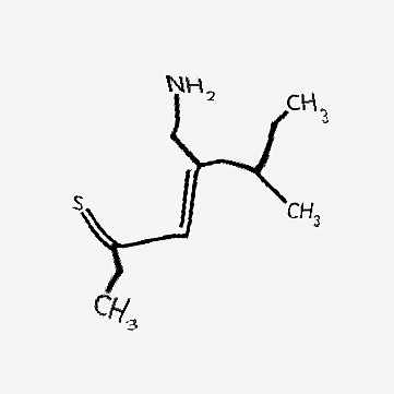 CC(=S)C=C(CN)C(C)C